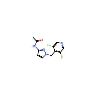 CC(=O)Nc1ccn(Cc2c(F)cncc2F)n1